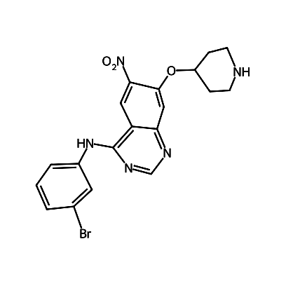 O=[N+]([O-])c1cc2c(Nc3cccc(Br)c3)ncnc2cc1OC1CCNCC1